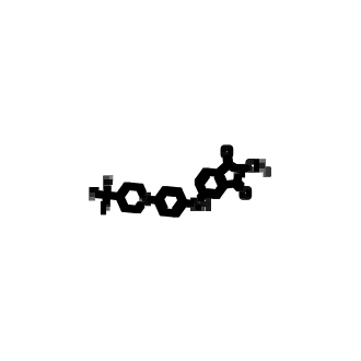 CN1C(=O)c2ccc(Nc3ccc(N4CCC(C(F)(F)F)CC4)cc3)cc2C1=O